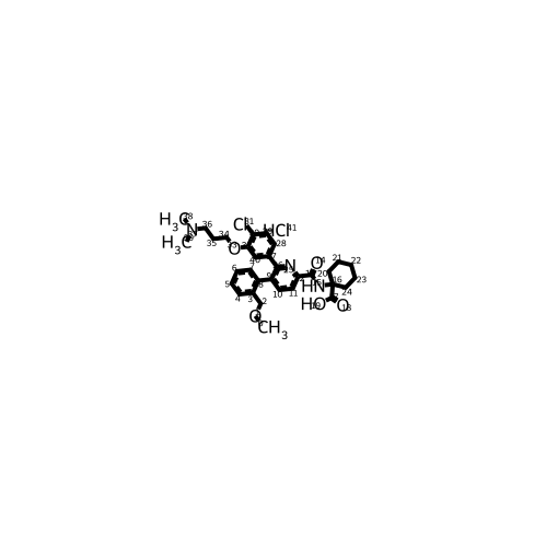 COCc1ccccc1-c1ccc(C(=O)NC2(C(=O)O)CCCCC2)nc1-c1ccc(Cl)c(OCCCN(C)C)c1.Cl